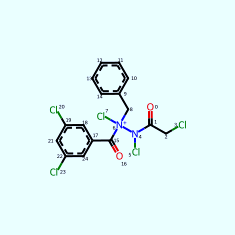 O=C(CCl)N(Cl)[N+](Cl)(Cc1ccccc1)C(=O)c1cc(Cl)cc(Cl)c1